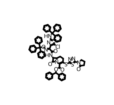 O=C(NC1C(=O)N2C(C(=O)OC(c3ccccc3)c3ccccc3)=C(Sc3nnc(N4CCCC4=O)s3)CCC12)C(=NOC(c1ccccc1)(c1ccccc1)c1ccccc1)c1nc(NC(c2ccccc2)(c2ccccc2)c2ccccc2)sc1Cl